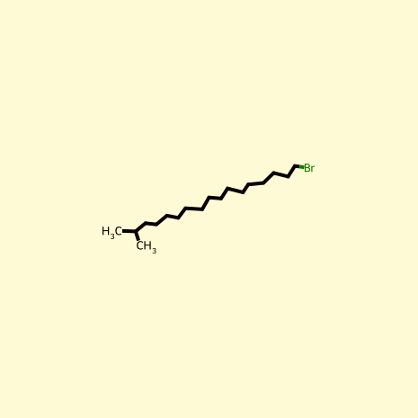 CC(C)CCCCCCCCCCCCCCCBr